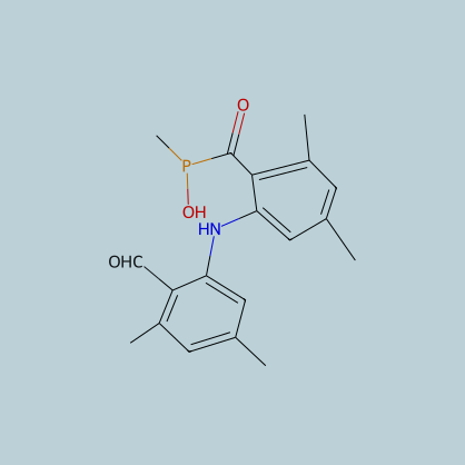 Cc1cc(C)c(C=O)c(Nc2cc(C)cc(C)c2C(=O)P(C)O)c1